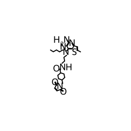 CCCCc1nc2c(N)nc3cc(C)sc3c2n1CCCCNC(=O)C1CCC(CN2C(=O)C=CC2=O)CC1